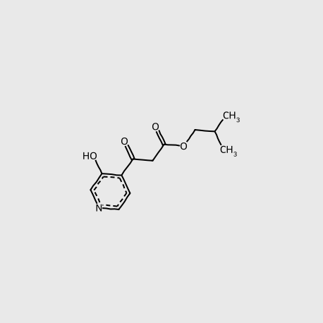 CC(C)COC(=O)CC(=O)c1ccncc1O